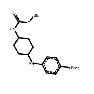 CCCCCc1ccc(NC2CCC(NC(=O)OC(C)(C)C)CC2)cc1